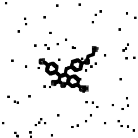 O=c1oc2cc(O)ccc2c(Cc2ccc(OCCBr)cc2)c1-c1ccc(Cl)cc1